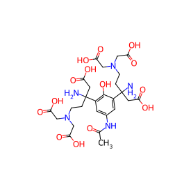 CC(=O)Nc1cc(C(N)(CCN(CC(=O)O)CC(=O)O)CC(=O)O)c(O)c(C(N)(CCN(CC(=O)O)CC(=O)O)CC(=O)O)c1